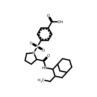 CCC1CC2CCCC(C2)C1NC(=O)C1CCCN1S(=O)(=O)c1ccc(C(=O)O)cc1